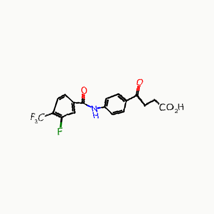 O=C(O)CCC(=O)c1ccc(NC(=O)c2ccc(C(F)(F)F)c(F)c2)cc1